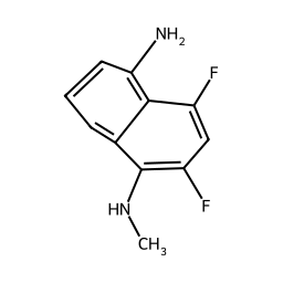 CNc1c(F)cc(F)c2c(N)cccc12